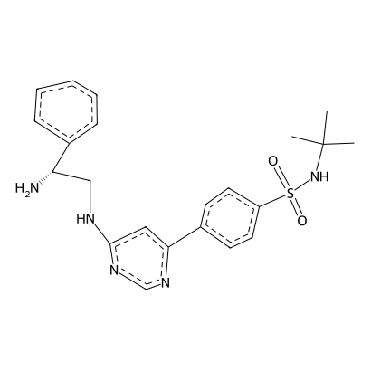 CC(C)(C)NS(=O)(=O)c1ccc(-c2cc(NC[C@H](N)c3ccccc3)ncn2)cc1